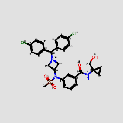 CS(=O)(=O)N(c1cccc(C(=O)NC2(CO)CC2)c1)C1CN(C(c2ccc(Cl)cc2)c2ccc(Cl)cc2)C1